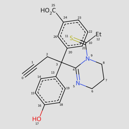 C#CCC(C1=NCCCN1C(=S)CC)(c1ccc(O)cc1)c1cccc(C(=O)O)c1